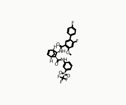 COc1cc(F)c(-c2ccc(F)cc2)cc1C(=O)N[C@H]1[C@@H](C(=O)Nc2cccc(S(=O)(=O)C(F)(F)F)c2)[C@@H]2C=C[C@H]1C2